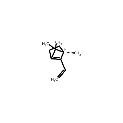 C=CC1=C2CC[C@]1(C)C2(C)C